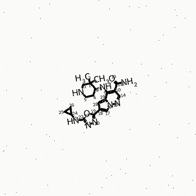 CC1(C)CNCC[C@H]1Nc1c(C(N)=O)cnn2cc(-c3nnc(NC4CC4)o3)cc12